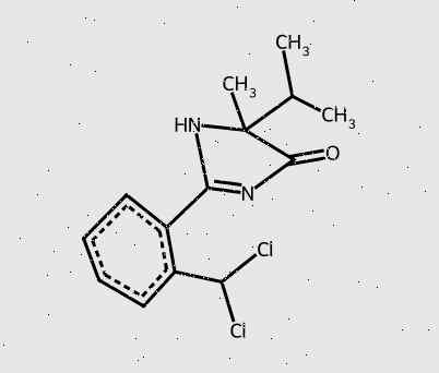 CC(C)C1(C)NC(c2ccccc2C(Cl)Cl)=NC1=O